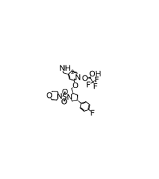 NCc1ccnc(OC[C@H]2C[C@@H](c3ccc(F)cc3)CN2S(=O)(=O)N2CCOCC2)c1.O=C(O)C(F)(F)F